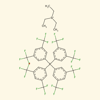 CC[Si+](CC)CC.FC(F)(F)c1cc([B-](c2cc(C(F)(F)F)cc(C(F)(F)F)c2)(c2cc(C(F)(F)F)cc(C(F)(F)F)c2)c2cc(C(F)(F)F)cc(C(F)(F)F)c2)cc(C(F)(F)F)c1